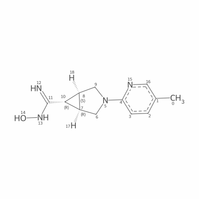 Cc1ccc(N2C[C@@H]3[C@H](C2)[C@H]3C(=N)NO)nc1